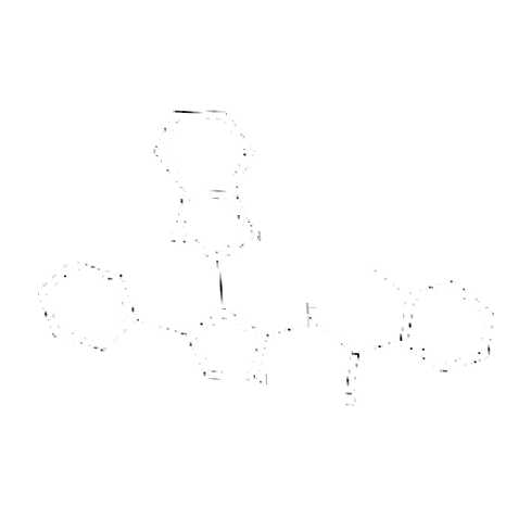 Cc1ccccc1C(=O)Nc1[nH]cc(-c2ccccc2)c1-c1nc2ccccc2s1